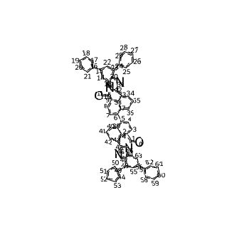 O=c1c2ccc(-c3ccc4c(=O)n5c6cc(-c7ccccc7)cc(-c7ccccc7)c6nc5c5cccc3c45)c3cccc(c32)c2nc3c(-c4ccccc4)cc(-c4ccccc4)cc3n12